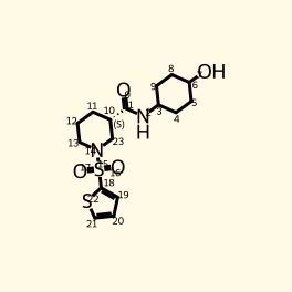 O=C(NC1CCC(O)CC1)[C@H]1CCCN(S(=O)(=O)c2cccs2)C1